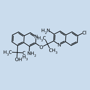 CC(C)(O)c1cccc2cnc(OC(C)(C)c3nc4ccc(Cl)cc4cc3N)c(N)c12